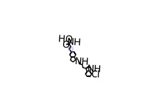 O=C(/C=C/c1ccc2c(c1)CCC2NCCCc1c[nH]c2c(Cl)cccc12)NO